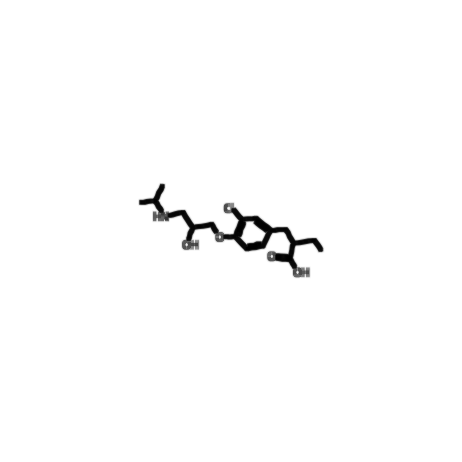 CCC(Cc1ccc(OCC(O)CNC(C)C)c(Cl)c1)C(=O)O